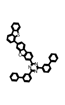 c1ccc(-c2cccc(-c3nc(-c4cccc(-c5ccccc5)c4)nc(-c4ccc5c(c4)oc4cc(-c6cccc7c6sc6ccccc67)ccc45)n3)c2)cc1